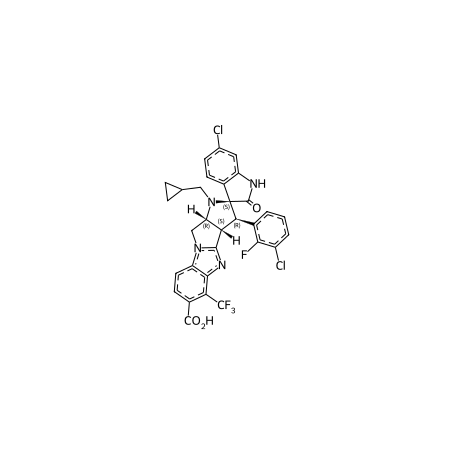 O=C(O)c1ccc2c(nc3n2C[C@H]2[C@@H]3[C@H](c3cccc(Cl)c3F)[C@]3(C(=O)Nc4cc(Cl)ccc43)N2CC2CC2)c1C(F)(F)F